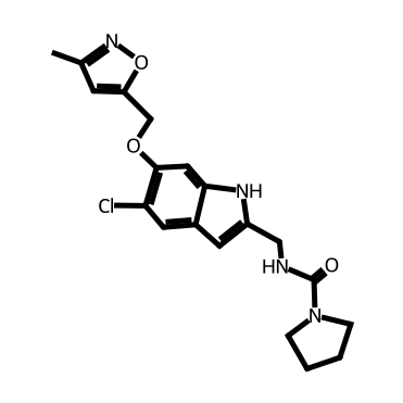 Cc1cc(COc2cc3[nH]c(CNC(=O)N4CCCC4)cc3cc2Cl)on1